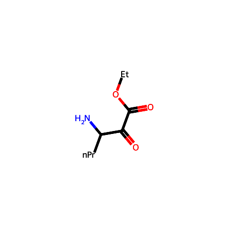 CCCC(N)C(=O)C(=O)OCC